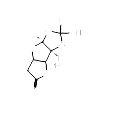 CC1(C)O[C@H]2OC3CC(=O)O[C@@H]3[C@H]2O1